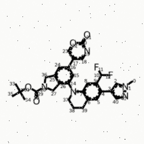 Cn1cc(-c2cc3c(cc2C(F)F)N(c2cc(-c4cnc(=O)oc4)cc4c2CN(C(=O)OC(C)(C)C)C4)CCC3)cn1